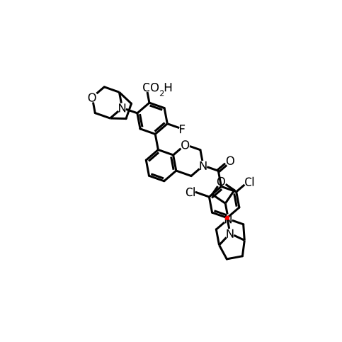 O=C(O)c1cc(F)c(-c2cccc3c2OCN(C(=O)c2c(Cl)cc(N4C5CCC4CN(C4COC4)C5)cc2Cl)C3)cc1N1C2CCC1COC2